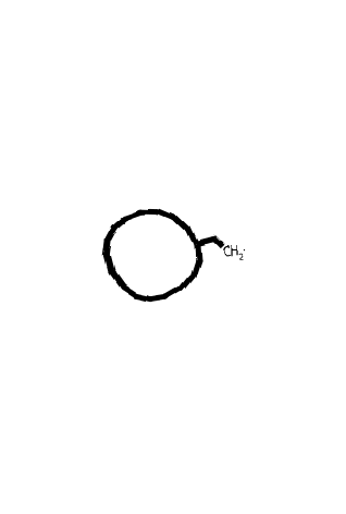 [CH2]CC1CCCCCCCCCCCCCCCC1